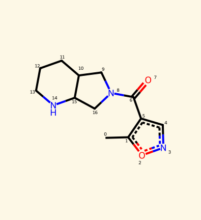 Cc1oncc1C(=O)N1CC2CCCNC2C1